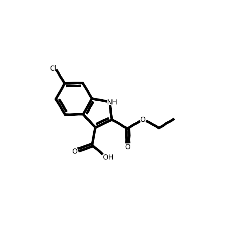 CCOC(=O)c1[nH]c2cc(Cl)ccc2c1C(=O)O